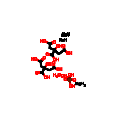 O.O.O=C(O)CC(O)(CC(=O)O)C(=O)O.O=C(O)CC(O)(CC(=O)O)C(=O)O.O=S(=O)(O)O.[MgH2].[NaH].[NaH].[NaH]